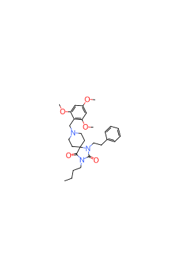 CCCCN1C(=O)N(CCc2ccccc2)C2(CCN(Cc3c(OC)cc(OC)cc3OC)CC2)C1=O